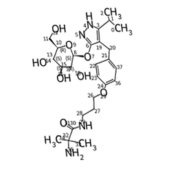 CC(C)c1[nH]nc(O[C@@H]2O[C@H](CO)[C@@H](O)[C@H](O)[C@H]2O)c1Cc1ccc(OCCCNC(=O)C(C)(C)N)cc1